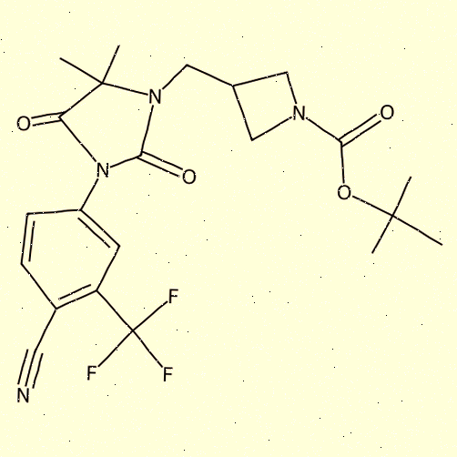 CC(C)(C)OC(=O)N1CC(CN2C(=O)N(c3ccc(C#N)c(C(F)(F)F)c3)C(=O)C2(C)C)C1